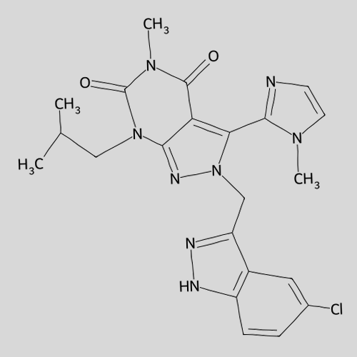 CC(C)Cn1c(=O)n(C)c(=O)c2c(-c3nccn3C)n(Cc3n[nH]c4ccc(Cl)cc34)nc21